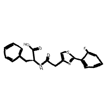 O=C(Cc1csc(-c2ccccc2F)n1)N[C@@H](Cc1ccccc1)C(=O)O